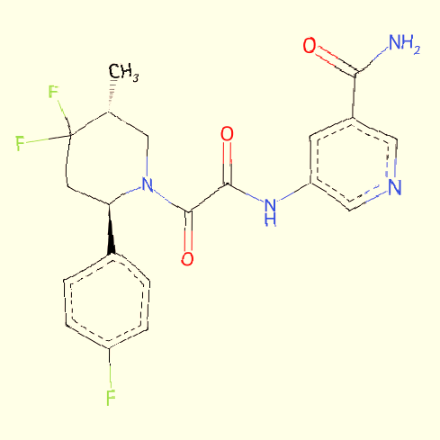 C[C@@H]1CN(C(=O)C(=O)Nc2cncc(C(N)=O)c2)[C@@H](c2ccc(F)cc2)CC1(F)F